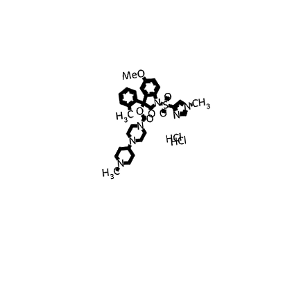 COc1ccc2c(c1)C(OC(=O)N1CCN(C3CCN(C)CC3)CC1)(c1ccccc1C)C(=O)N2S(=O)(=O)c1cn(C)cn1.Cl.Cl